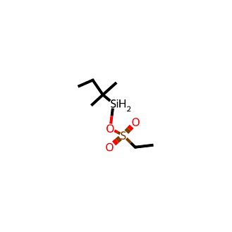 CCC(C)(C)[SiH2]OS(=O)(=O)CC